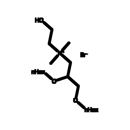 CCCCCCOCC(C[N+](C)(C)CCO)OCCCCCC.[Br-]